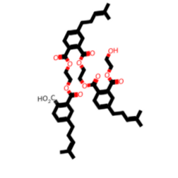 CC(C)=CCCC1=CCC(C(=O)O)=C(C(=O)OCCOC(=O)C2=C(C(=O)OCCOC(=O)C3=C(C(=O)OCCO)CC(CCC=C(C)C)=CC3)CC(CCC=C(C)C)=CC2)C1